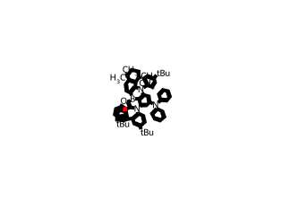 CC(C)(C)c1ccc(N2c3cc(N(c4ccccc4)c4ccccc4)cc4c3B(c3ccc5c(c32)C(C)(C)CCC5(C)C)c2oc3ccc(C(C)(C)C)cc3c2N4c2ccc(C(C)(C)C)cc2-c2ccccc2)cc1